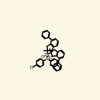 C[C]1([Zr]([Cl])([Cl])(=[Si](c2ccc(Cl)cc2)c2ccc(Cl)cc2)[C]2(C)Cc3cccc(-c4ccccc4)c3C2)Cc2cccc(-c3ccccc3)c2C1